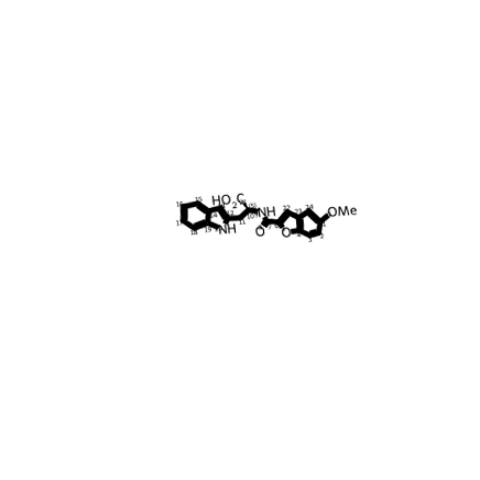 COc1ccc2oc(C(=O)N[C@@H](Cc3cc4ccccc4[nH]3)C(=O)O)cc2c1